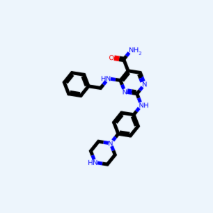 NC(=O)c1cnc(Nc2ccc(N3CCNCC3)cc2)nc1NCc1ccccc1